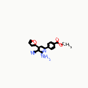 COC(=O)c1ccc(-c2cc(-c3ccco3)c(C#N)c(N)n2)cc1